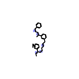 C/C=C(\C=C/C/C=C/Cc1cccc(/C(C)=C/C=C\c2ccccc2)c1)c1cccnc1